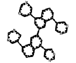 c1cc(-c2cncnc2)c2cc(-c3cc(-c4cncnc4)c4cccc(-c5cncnc5)c4c3)cc(-c3cncnc3)c2c1